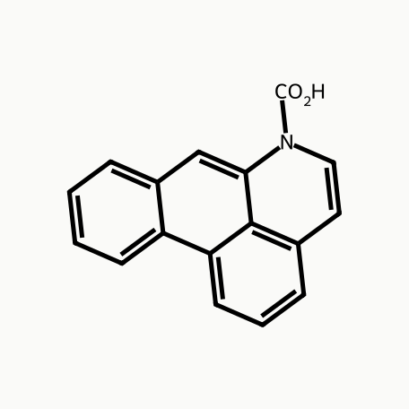 O=C(O)N1C=Cc2cccc3c2c1cc1ccccc13